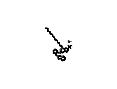 CCCCCCCCCCCCCCOc1cc(C(C)(C)C)ccc1CC(=O)Nc1ccccc1Cn1cc2cccc[n+]2c1.[Br-]